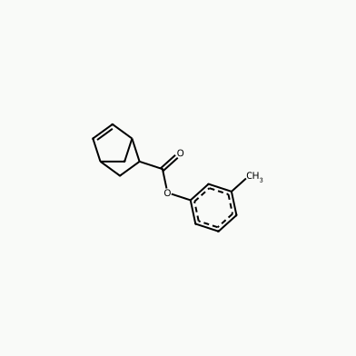 Cc1cccc(OC(=O)C2CC3C=CC2C3)c1